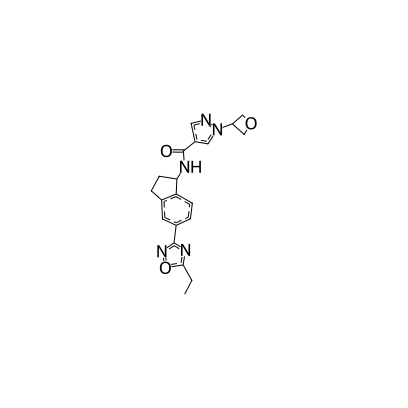 CCc1nc(-c2ccc3c(c2)CCC3NC(=O)c2cnn(C3COC3)c2)no1